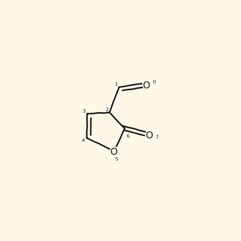 O=CC1C=COC1=O